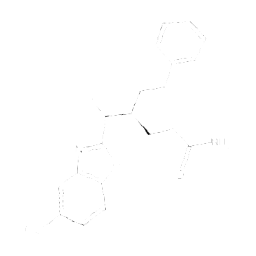 NC(=O)CC[C@H](CCc1ccccc1)C(O)c1nc2cc(C(F)(F)F)ccc2o1